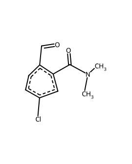 CN(C)C(=O)c1cc(Cl)ccc1C=O